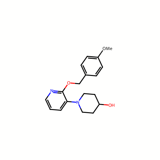 COc1ccc(COc2ncccc2N2CCC(O)CC2)cc1